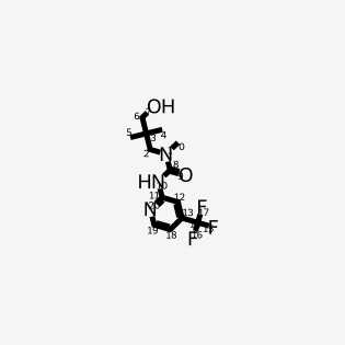 CN(CC(C)(C)CO)C(=O)Nc1cc(C(F)(F)F)ccn1